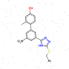 CC(=O)CSc1nnc(-c2cc(-c3ccc(O)cc3C)cc([N+](=O)[O-])c2)[nH]1